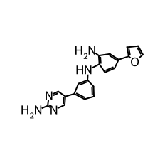 Nc1ncc(-c2cccc(Nc3ccc(-c4ccco4)cc3N)c2)cn1